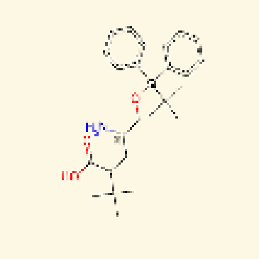 CC(C)(C)C(C[C@H](N)CO[Si](c1ccccc1)(c1ccccc1)C(C)(C)C)C(=O)O